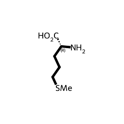 CSCCC[C@@H](N)C(=O)O